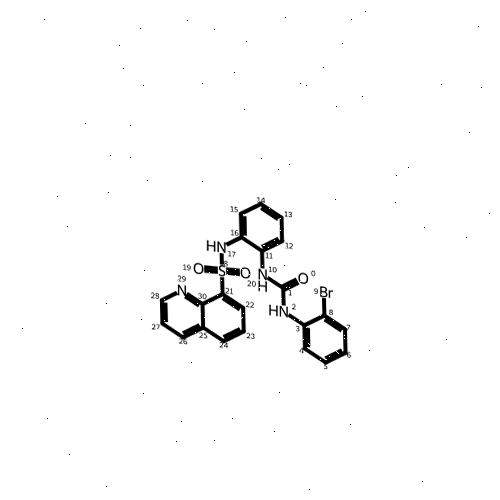 O=C(Nc1ccccc1Br)Nc1ccccc1NS(=O)(=O)c1cccc2cccnc12